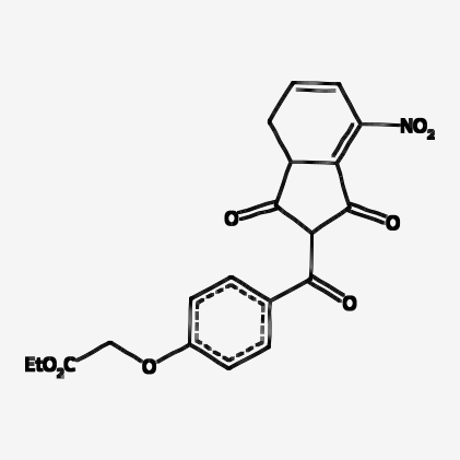 CCOC(=O)COc1ccc(C(=O)C2C(=O)C3=C([N+](=O)[O-])C=CCC3C2=O)cc1